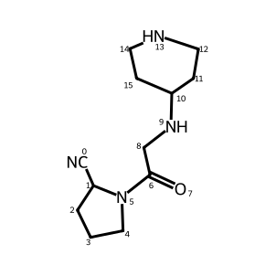 N#CC1CCCN1C(=O)CNC1CCNCC1